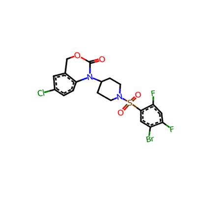 O=C1OCc2cc(Cl)ccc2N1C1CCN(S(=O)(=O)c2cc(Br)c(F)cc2F)CC1